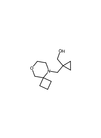 OCC1(CN2CCOCC23CCC3)CC1